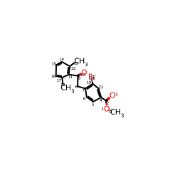 COC(=O)c1ccc(CC(=O)c2c(C)cccc2C)c(Br)c1